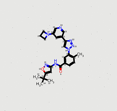 Cc1ccc(C(=O)Nc2cc(C(C)(C)C)on2)cc1-n1cc(-c2cncc(N3CCC3)c2)nn1